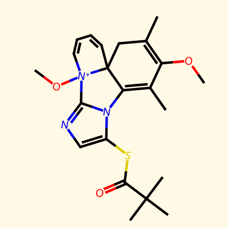 COC1=C(C)CC23C=CC=C[N+]2(OC)c2ncc(SC(=O)C(C)(C)C)n2C3=C1C